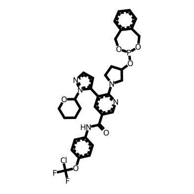 O=C(Nc1ccc(OC(F)(F)Cl)cc1)c1cnc(N2CCC(OP3OCc4ccccc4CO3)C2)c(-c2ccnn2C2CCCCO2)c1